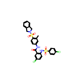 Cc1cc(NC(=O)c2cc(Cl)ccc2NS(=O)(=O)c2ccc(Cl)cc2)ccc1S(=O)(=O)N1Cc2ccccc2C1